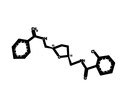 C=C(NC[C@H]1CC[C@@H](CNC(=O)c2ccccc2Cl)O1)c1ccccc1